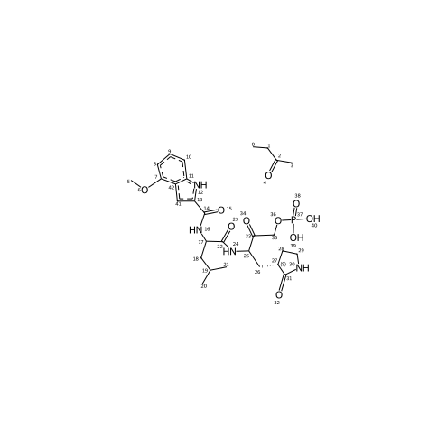 CCC(C)=O.COc1cccc2[nH]c(C(=O)NC(CC(C)C)C(=O)NC(C[C@@H]3CCNC3=O)C(=O)COP(=O)(O)O)cc12